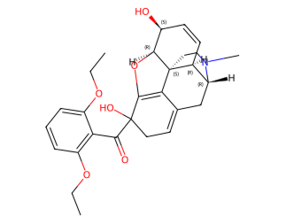 CCOc1cccc(OCC)c1C(=O)C1(O)CC=C2C[C@@H]3[C@@H]4C=C[C@H](O)[C@@H]5OC1=C2[C@]45CCN3C